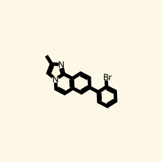 Cc1cn2ccc3cc(-c4ccccc4Br)ccc3c2n1